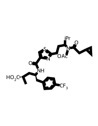 CC(=O)O[C@H](CC(C(C)C)N(C)C(=O)CC1CC1)c1nc(C(=O)N[C@@H](Cc2ccc(C(F)(F)F)cc2)C[C@H](C)C(=O)O)cs1